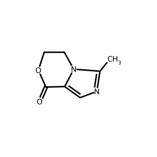 Cc1ncc2n1CCOC2=O